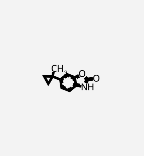 CC1(c2ccc3[nH]c(=O)oc3c2)CC1